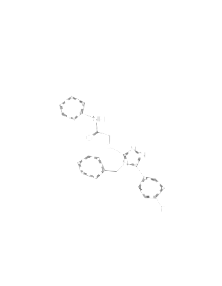 O=C(CSc1nnc(-c2ccc(F)cc2)n1Cc1ccccc1)Nc1ccccc1